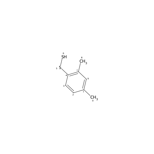 Cc1ccc(SS)c(C)c1